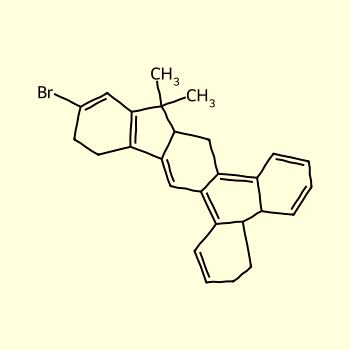 CC1(C)C2=C(CCC(Br)=C2)C2=CC3=C4C=CCCC4C4C=CC=CC4=C3CC21